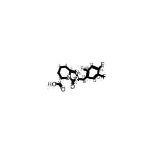 O=C(O)[C@@H]1CCCc2nn(Cc3cc(F)c(F)cc3F)c(=O)n21